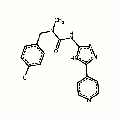 CN(Cc1ccc(Cl)cc1)C(=O)Nc1nnc(-c2ccncc2)[nH]1